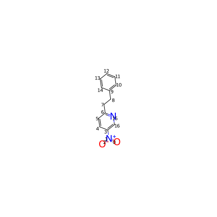 O=[N+]([O-])c1ccc(CCc2ccccc2)nc1